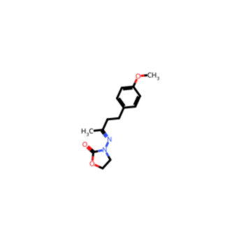 COc1ccc(CCC(C)=NN2CCOC2=O)cc1